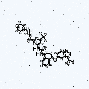 CCC(CC)c1nnc2ccc(O[C@@H]3CC[C@H](NC(=O)Nc4cc(C(C)(C)C)nc(C(=O)NCCN5CCOCC5)n4)c4ccccc43)cn12